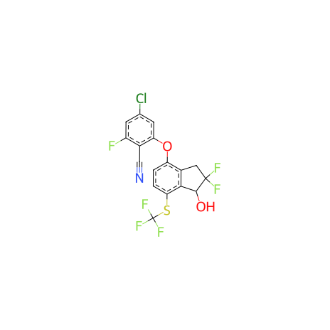 N#Cc1c(F)cc(Cl)cc1Oc1ccc(SC(F)(F)F)c2c1CC(F)(F)C2O